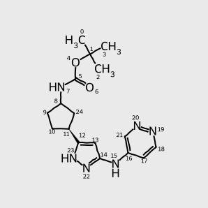 CC(C)(C)OC(=O)NC1CC[C@H](c2cc(Nc3ccnnc3)n[nH]2)C1